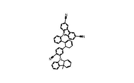 CC12C=CC=CC1N(c1cc(C3CC=CC=C3c3ccccc3-n3c4ccc(C#N)cc4c4cc(C#N)ccc43)ccc1C#N)c1ccccc12